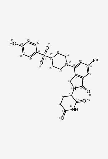 O=C1CCC(N2Cc3c(cc(F)cc3N3CCN(S(=O)(=O)c4ccc(O)cc4)CC3)C2=O)C(=O)N1